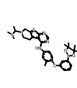 Cc1cc(Nc2ncnc3sc4c(c23)CCN(C(C)N(C)C)C4)ccc1Oc1cccc(B2OC(C)(C)C(C)(C)O2)c1